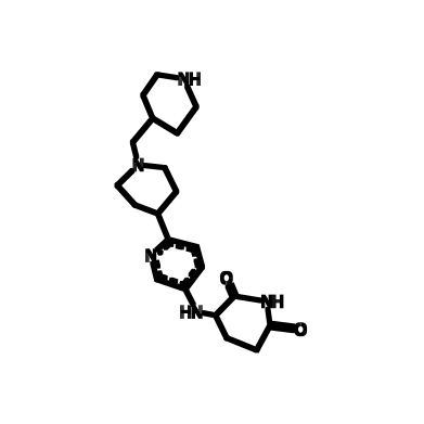 O=C1CCC(Nc2ccc(C3CCN(CC4CCNCC4)CC3)nc2)C(=O)N1